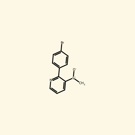 C[S+]([O-])c1cccnc1-c1ccc(Br)cc1